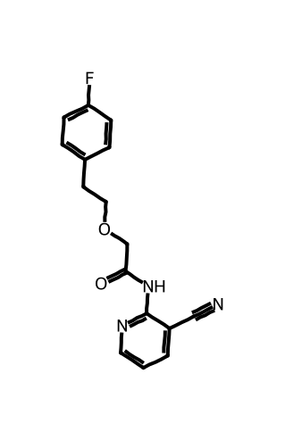 N#Cc1cccnc1NC(=O)COCCc1ccc(F)cc1